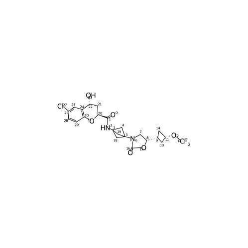 O=C(NC12CC(N3CC([C@H]4C[C@@H](OC(F)(F)F)C4)OC3=O)(C1)C2)[C@@H]1C[C@@H](O)c2cc(Cl)ccc2O1